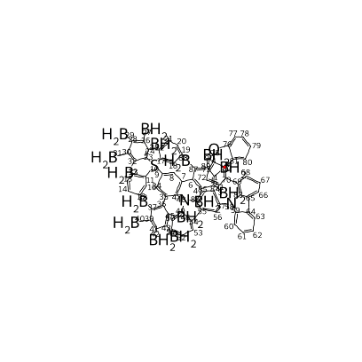 Bc1c(B)c(B)c(-c2cc(S(c3ccccc3)(c3ccccc3)c3c(B)c(B)c(B)c(B)c3B)cc(-c3c(B)c(B)c(B)c(B)c3B)c2-n2c3ccccc3c3cc(-n4c5ccccc5c5cccc(-c6cccc7oc8ccccc8c67)c54)ccc32)c(B)c1B